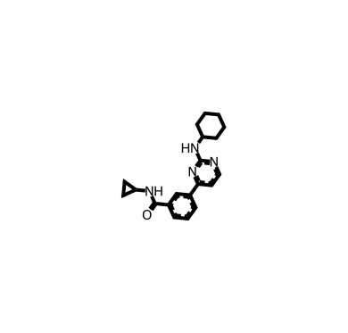 O=C(NC1CC1)c1cccc(-c2ccnc(NC3CCCCC3)n2)c1